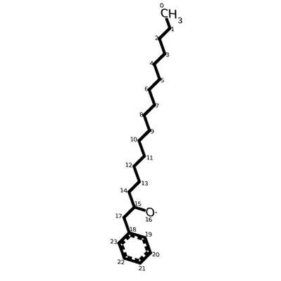 CCCCCCCCCCCCCCCC([O])Cc1ccccc1